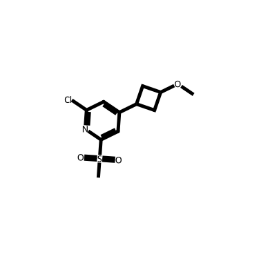 COC1CC(c2cc(Cl)nc(S(C)(=O)=O)c2)C1